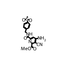 COC(=O)c1nc(C(=O)NCc2ccc(S(C)(=O)=O)cc2)cc(N)c1C#N